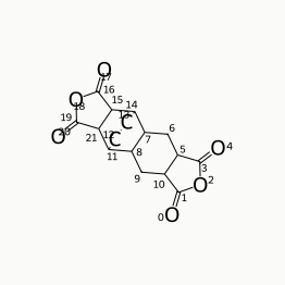 O=C1OC(=O)C2CC3C(CC12)C1CCC3C2C(=O)OC(=O)C12